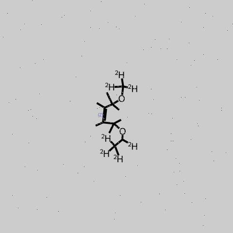 [2H]C(OC(C)(C)/C(C)=C(/C)C(C)(C)OC([2H])([2H])[2H])C([2H])([2H])[2H]